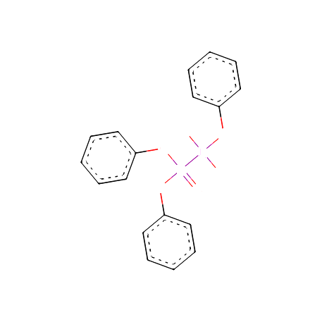 O=P(Oc1ccccc1)(Oc1ccccc1)[PH](O)(O)Oc1ccccc1